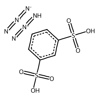 O=S(=O)(O)c1cccc(S(=O)(=O)O)c1.[N-]=[N+]=N.[N-]=[N+]=[N-]